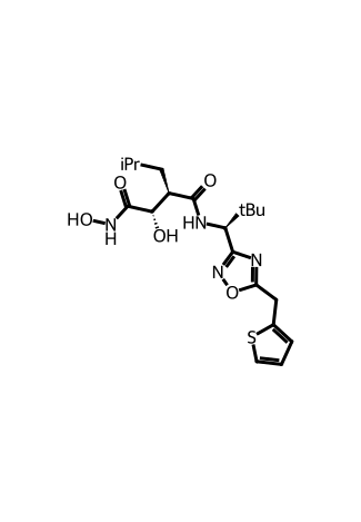 CC(C)C[C@@H](C(=O)N[C@H](c1noc(Cc2cccs2)n1)C(C)(C)C)[C@H](O)C(=O)NO